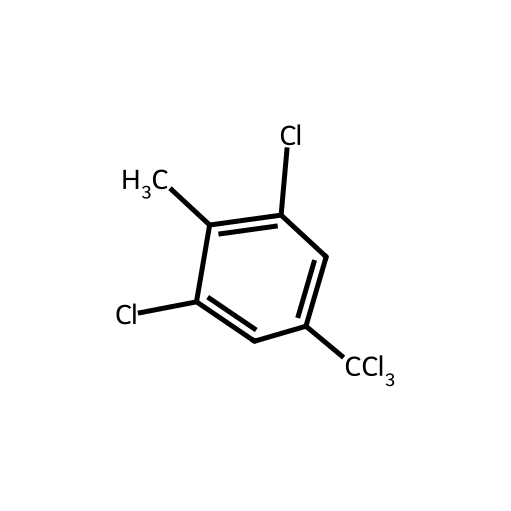 Cc1c(Cl)cc(C(Cl)(Cl)Cl)cc1Cl